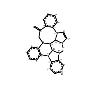 C=C1CC2c3ccccc3N3c4ncncc4N(C)C3C2C2N(C)C=CN2c2ccccc21